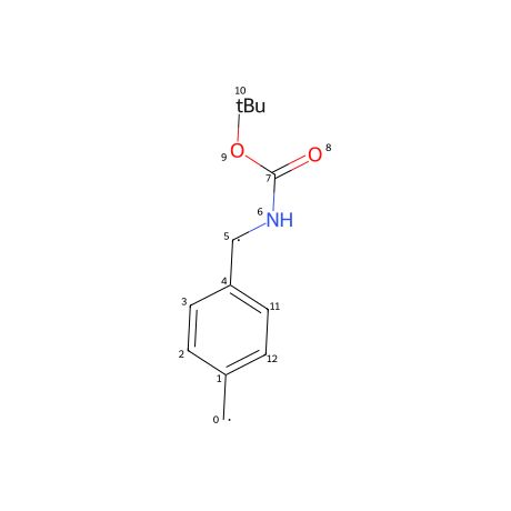 [CH2]c1ccc([CH]NC(=O)OC(C)(C)C)cc1